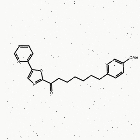 COc1ccc(CCCCCCC(=O)c2ncc(-c3ccccn3)o2)cc1